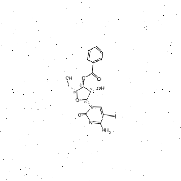 Nc1nc(=O)n([C@@H]2O[C@H](CO)[C@@H](OC(=O)c3ccccc3)[C@@H]2O)cc1I